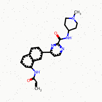 C=CC(=O)Nc1cccc2ccc(-c3ccnc(C(=O)NC4CCN(C)CC4)n3)cc12